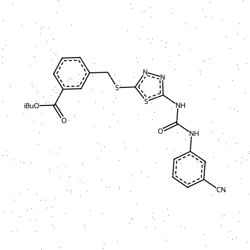 CC(C)COC(=O)c1cccc(CSc2nnc(NC(=O)Nc3cccc(C#N)c3)s2)c1